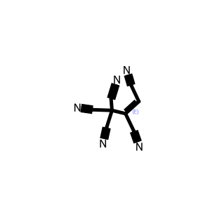 N#C/C=C(/C#N)C(C#N)(C#N)C#N